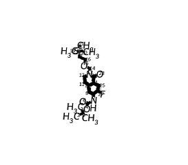 CC(C)(C)OC(=O)Nc1cc2ccn(COCC[Si](C)(C)C)c(=O)c2cc1F